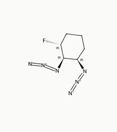 [N-]=[N+]=N[C@H]1[C@H](F)CCC[C@H]1N=[N+]=[N-]